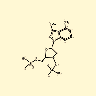 CSc1nn([C@H]2CC(O[Si](C)(C)C(C)(C)C)[C@@H](CO[Si](C)(C)C(C)(C)C)O2)c2ncnc(N)c12